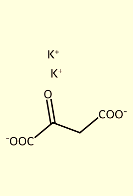 O=C([O-])CC(=O)C(=O)[O-].[K+].[K+]